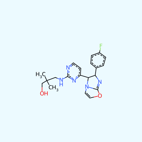 CC(C)(CO)CNc1nccc(C2C(c3ccc(F)cc3)N=C3OC=CN32)n1